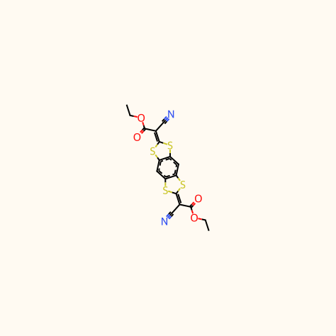 CCOC(=O)C(C#N)=C1Sc2cc3c(cc2S1)SC(=C(C#N)C(=O)OCC)S3